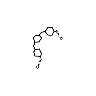 O=C=NC1CCC(CC2CCC(CC3CCC(N=C=O)CC3)CC2)CC1